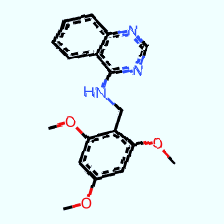 COc1cc(OC)c(CNc2ncnc3ccccc23)c(OC)c1